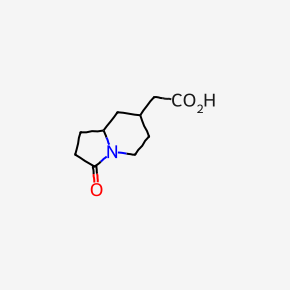 O=C(O)CC1CCN2C(=O)CCC2C1